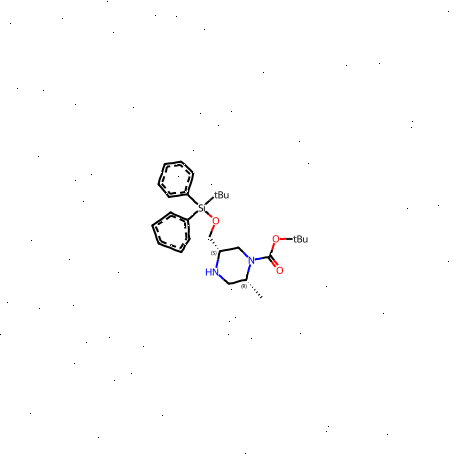 C[C@@H]1CN[C@H](CO[Si](c2ccccc2)(c2ccccc2)C(C)(C)C)CN1C(=O)OC(C)(C)C